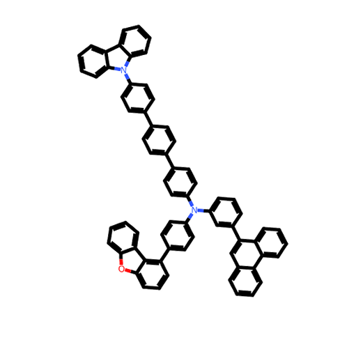 c1cc(-c2cc3ccccc3c3ccccc23)cc(N(c2ccc(-c3ccc(-c4ccc(-n5c6ccccc6c6ccccc65)cc4)cc3)cc2)c2ccc(-c3cccc4oc5ccccc5c34)cc2)c1